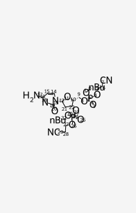 CCCCOP(=O)(OCCC#N)OC[C@H]1O[C@@H](n2ccc(N)nc2=O)C[C@@H]1OP(=O)(OCCC#N)OCCCC